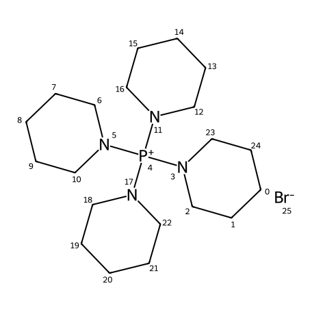 C1CCN([P+](N2CCCCC2)(N2CCCCC2)N2CCCCC2)CC1.[Br-]